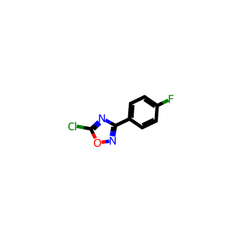 Fc1ccc(-c2noc(Cl)n2)cc1